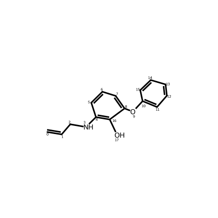 C=CCNc1cccc(Oc2ccccc2)c1O